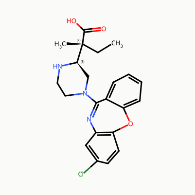 CC[C@@](C)(C(=O)O)[C@H]1CN(C2=Nc3cc(Cl)ccc3Oc3ccccc32)CCN1